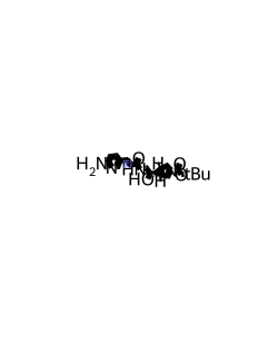 CC(C)(C)OC(=O)N1C[C@@H]2[C@H](C1)[C@H]2C(O)CNC(=O)/C=C/c1ccc(N)nc1